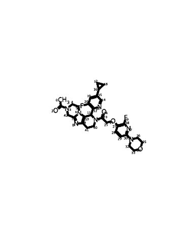 CC(=O)N1CCn2c(nc3c2C(c2ncc(C4CC4)cc2F)N(C(=O)COc2ccc(N4CCOCC4)nc2F)CC3)C1